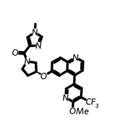 COc1ncc(-c2ccnc3ccc(O[C@H]4CCN(C(=O)c5cn(C)cn5)C4)cc23)cc1C(F)(F)F